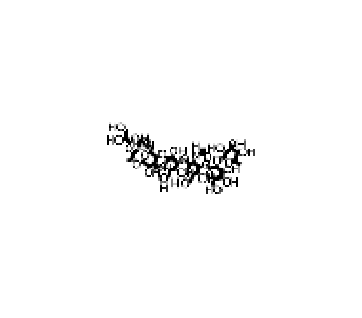 CC(=O)N[C@H]1C(O[C@@H]2OC(CO)[C@H](O)C(O)[C@@H]2O[C@@H]2OC(C)[C@@H](O)C(O)[C@@H]2O)[C@@H](O)C(CO)O[C@H]1O[C@@H]1C(O)[C@@H](O[C@H]2C(CO)O[C@@H](O[C@@H](C)C(CO)O[C@@H](O)[C@@H](O)CO)[C@@H](O)C2O)OC(CO)[C@@H]1O